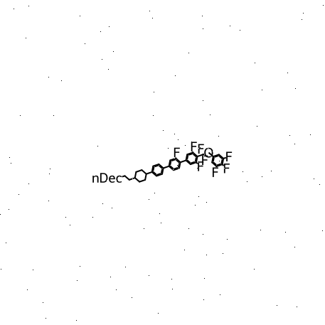 CCCCCCCCCCCCC1CCC(c2ccc(-c3ccc(-c4cc(F)c(C(F)(F)Oc5cc(F)c(F)c(F)c5)c(F)c4)c(F)c3)cc2)CC1